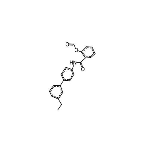 CCc1cccc(-c2ccc(NC(=O)c3ccccc3OC=O)cc2)c1